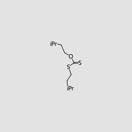 CC(C)CCOC(=S)SCCC(C)C